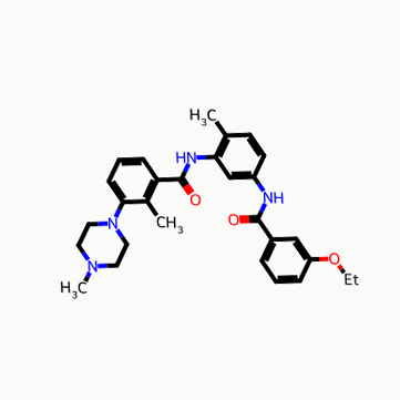 CCOc1cccc(C(=O)Nc2ccc(C)c(NC(=O)c3cccc(N4CCN(C)CC4)c3C)c2)c1